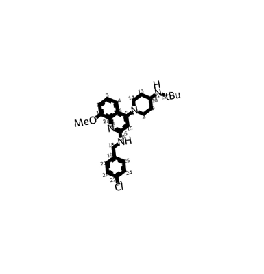 COc1cccc2c(N3CCC(NC(C)(C)C)CC3)cc(NCc3ccc(Cl)cc3)nc12